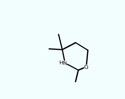 CC1NC(C)(C)CCO1